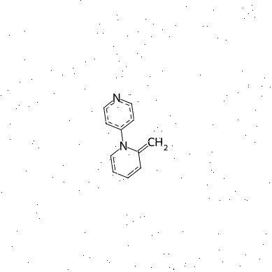 C=C1C=CC=CN1c1ccncc1